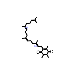 CC(C)=CCC/C(C)=C/CCC(C)=CCC/C(C)=C/CC1=C(C)C(=O)C(C)=C(C)C1=O